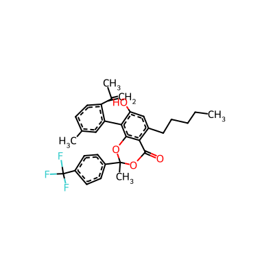 C=C(C)c1ccc(C)cc1-c1c(O)cc(CCCCC)c2c1OC(C)(c1ccc(C(F)(F)F)cc1)OC2=O